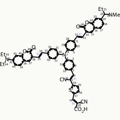 [C-]#[N+]/C(=C\c1ccc(N(c2ccc(/C=C/c3cc4ccc(C(CC)NC)cc4oc3=O)cc2)c2ccc(/C=C/c3cc4ccc(N(CC)CC)cc4oc3=O)cc2)cc1)c1ccc(/C=C(\C#N)C(=O)O)s1